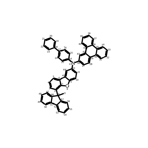 CC1(c2cccc3c2oc2ccc(N(c4ccc(-c5ccccc5)cc4)c4ccc5c6ccccc6c6ccccc6c5c4)cc23)c2ccccc2-c2ccccc21